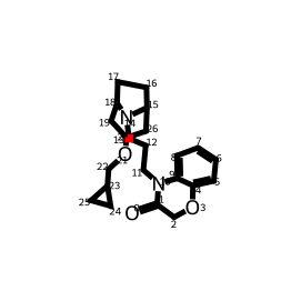 O=C1COc2ccccc2N1CCCN1C2CCC1CC(OCC1CC1)C2